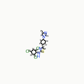 Cc1cn(-c2ccc(-c3csc(Nc4c(Cl)cc(Cl)cc4Cl)n3)cc2)cn1